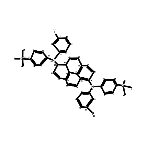 C[Si](C)(C)c1ccc(N(c2cccc(F)c2)c2ccc3c4c5c(ccc24)C=CC(N(c2ccc([Si](C)(C)C)cc2)c2cccc(F)c2)C5C=C3)cc1